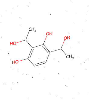 CC(O)c1ccc(O)c(C(C)O)c1O